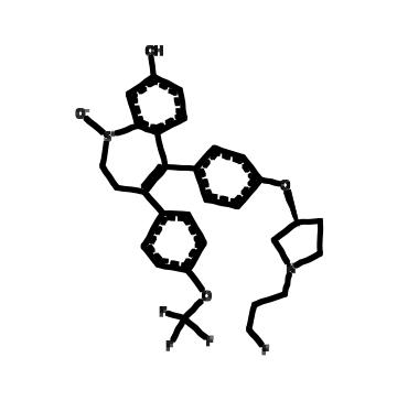 [O-][S+]1CCC(c2ccc(OC(F)(F)F)cc2)=C(c2ccc(O[C@H]3CCN(CCCF)C3)cc2)c2ccc(O)cc21